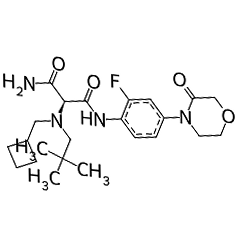 CC(C)(C)CN(CC1CCC1)[C@@H](C(N)=O)C(=O)Nc1ccc(N2CCOCC2=O)cc1F